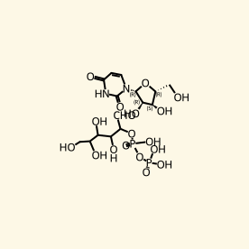 O=CC(OP(=O)(O)OP(=O)(O)O)C(O)C(O)C(O)CO.O=c1ccn([C@@H]2O[C@H](CO)[C@@H](O)[C@H]2O)c(=O)[nH]1